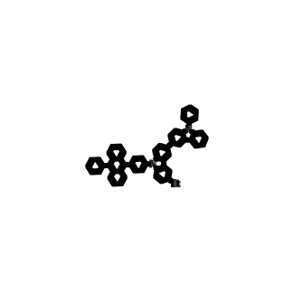 CCc1ccc2c(c1)c1cc(-c3ccc4c(c3)c3ccccc3n4-c3ccccc3)ccc1n2-c1ccc(-c2c3ccccc3c(-c3ccccc3)c3ccccc23)cc1